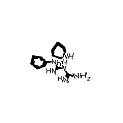 C1CCNCC1.N=C(N)NC(=N)Nc1ccccc1